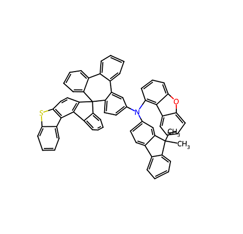 CC1(C)c2ccccc2-c2ccc(N(c3ccc4c(c3)-c3ccccc3-c3ccccc3C43c4ccccc4-c4c3ccc3sc5ccccc5c43)c3cccc4oc5ccccc5c34)cc21